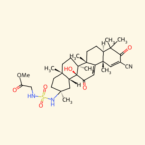 COC(=O)CNS(=O)(=O)N[C@@]1(C)CC[C@]2(C)CC[C@@]3(C)[C@]4(C)CC[C@H]5C(C)(C)C(=O)C(C#N)=C[C@]5(C)C4=CC(=O)[C@]3(O)[C@@H]2C1